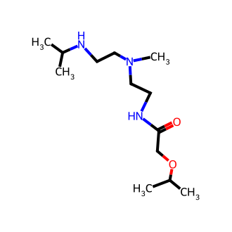 CC(C)NCCN(C)CCNC(=O)COC(C)C